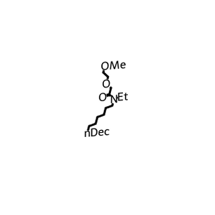 CCCCCCCCCCCCCCCCN(CC)C(=O)COCCOC